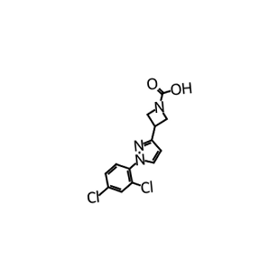 O=C(O)N1CC(c2ccn(-c3ccc(Cl)cc3Cl)n2)C1